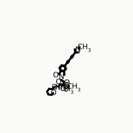 CN1CC(C#CC#Cc2ccc3c(c2)CN(CC[C@](C)(C(=O)NOC2CCCCO2)S(C)(=O)=O)C3=O)C1